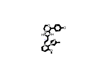 COC1=CC=CN(/C=C/C2NC3C(c4ccc(Cl)cc4)OCCN3N2)C1n1cnc(C)c1